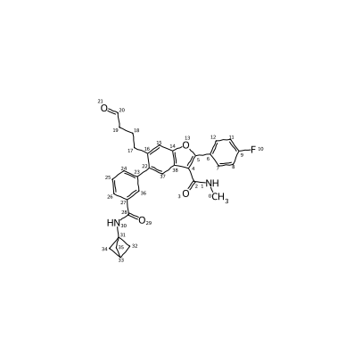 CNC(=O)c1c(-c2ccc(F)cc2)oc2cc(CCCC=O)c(-c3cccc(C(=O)NC45CC(C4)C5)c3)cc12